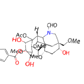 COC[C@]12CN(C=O)C3[C@@H]4[C@H](OC)C1[C@]3(C1CC3(O)C(OC)C(O)C4(OC(C)=O)C1C3OC(=O)c1ccccc1)[C@@H](OC)C[C@H]2O